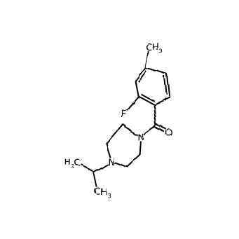 Cc1ccc(C(=O)N2CCN(C(C)C)CC2)c(F)c1